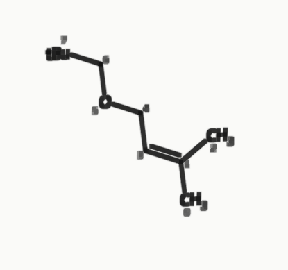 CC(C)=CCOCC(C)(C)C